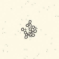 CC1(C)c2ccccc2-c2cc3c4ccccc4n(-c4nc(N(c5ccc(-c6cccc7c6oc6ccccc67)cc5)c5cccc6c5-c5ccccc5C6(C)C)c5ccccc5n4)c3cc21